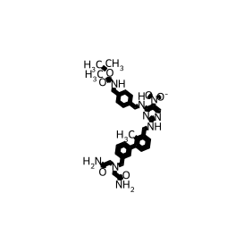 Cc1c(CNc2ncc([N+](=O)[O-])c(NCC3CCC(CNC(=O)OC(C)(C)C)CC3)n2)cccc1-c1cccc(CN(CC(N)=O)CC(N)=O)c1